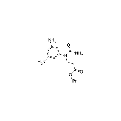 CC(C)OC(=O)CCN(C(N)=O)c1cc(N)cc(N)c1